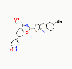 CC(C)(C)C1CCc2nc3sc(C(=O)N[C@H](CCO)c4ccc(-c5ccc(=O)[nH]c5)cc4)cc3cc2C1